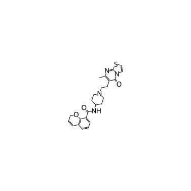 Cc1nc2sccn2c(=O)c1CCN1CCC(NC(=O)c2cccc3c2OCC=C3)CC1